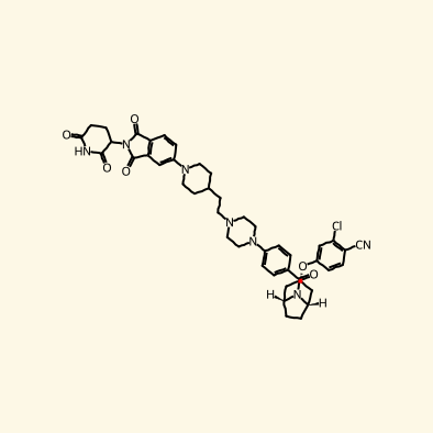 N#Cc1ccc(O[C@H]2C[C@H]3CC[C@@H](C2)N3C(=O)c2ccc(N3CCN(CCC4CCN(c5ccc6c(c5)C(=O)N(C5CCC(=O)NC5=O)C6=O)CC4)CC3)cc2)cc1Cl